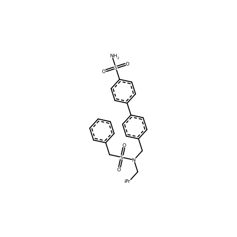 CC(C)CN(Cc1ccc(-c2ccc(S(N)(=O)=O)cc2)cc1)S(=O)(=O)Cc1ccccc1